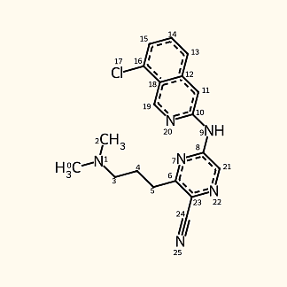 CN(C)CCCc1nc(Nc2cc3cccc(Cl)c3cn2)cnc1C#N